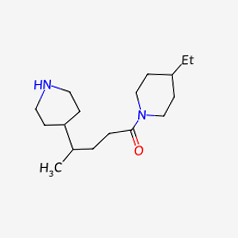 CCC1CCN(C(=O)CCC(C)C2CCNCC2)CC1